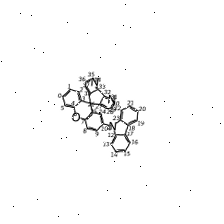 c1ccc2c(c1)Oc1ccc(-n3c4ccccc4c4ccccc43)cc1C21c2cccnc2-c2ncccc21